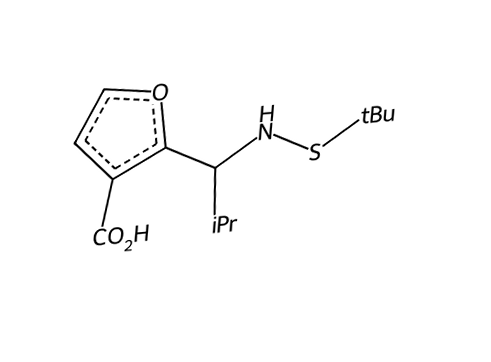 CC(C)C(NSC(C)(C)C)c1occc1C(=O)O